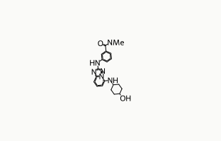 CNC(=O)c1cccc(Nc2nc3cccc(NC4CCC(O)CC4)n3n2)c1